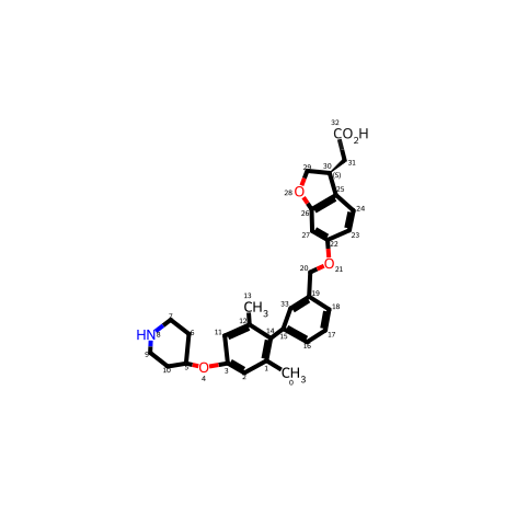 Cc1cc(OC2CCNCC2)cc(C)c1-c1cccc(COc2ccc3c(c2)OC[C@H]3CC(=O)O)c1